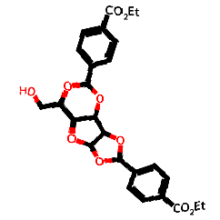 CCOC(=O)c1ccc(C2OC3OC4C(CO)OC(c5ccc(C(=O)OCC)cc5)OC4C3O2)cc1